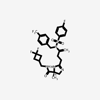 C=C(CCC1=NC[C@](C)(C(=O)NCC2CC(F)(F)C2)N1)N(Cc1ccc(C(F)(F)F)cc1)S(=O)(=O)c1ccc(F)cc1